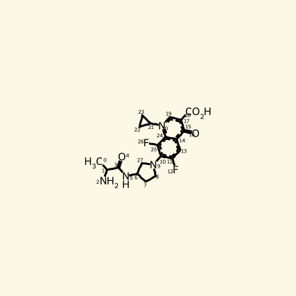 CC(N)C(=O)NC1CCN(c2c(F)cc3c(=O)c(C(=O)O)cn(C4CC4)c3c2F)C1